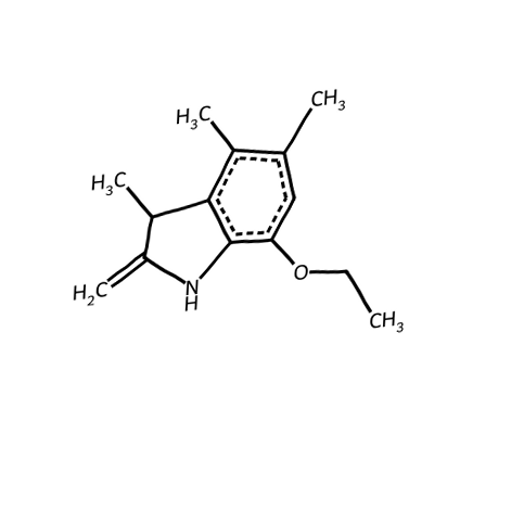 C=C1Nc2c(OCC)cc(C)c(C)c2C1C